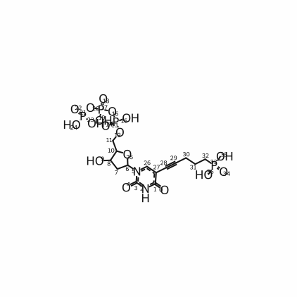 O=c1[nH]c(=O)n(C2CC(O)C(COP(=O)(O)OP(=O)(O)OP(=O)(O)O)O2)cc1C#CCCCP(=O)(O)O